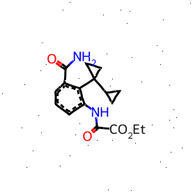 CCOC(=O)C(=O)Nc1cccc(C(N)=O)c1C1(C2CC2)CC1